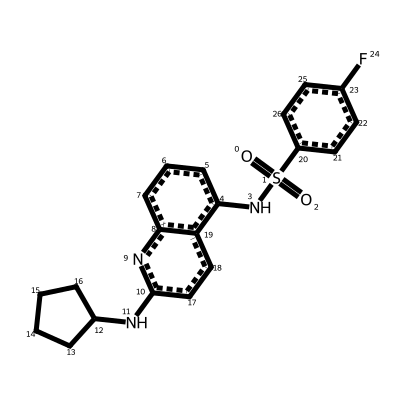 O=S(=O)(Nc1cccc2nc(NC3CCCC3)ccc12)c1ccc(F)cc1